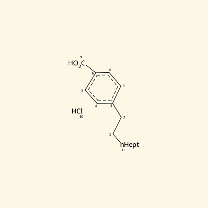 CCCCCCCCCc1ccc(C(=O)O)cc1.Cl